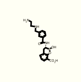 NCCNCc1cccc(C(=O)N[C@H]2Cc3cccc(C(=O)O)c3OB2O)c1